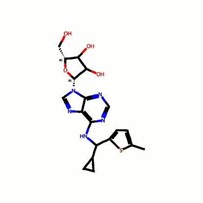 Cc1ccc(C(Nc2ncnc3c2ncn3[C@@H]2O[C@H](CO)C(O)C2O)C2CC2)s1